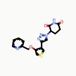 O=C1CCC(n2cc(-c3cscc3OCc3ccccn3)nn2)C(=O)N1